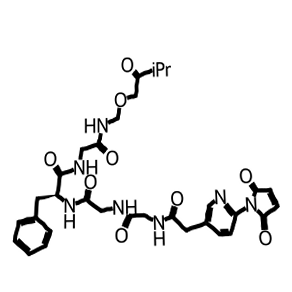 CC(C)C(=O)COCNC(=O)CNC(=O)[C@H](Cc1ccccc1)NC(=O)CNC(=O)CNC(=O)Cc1ccc(N2C(=O)C=CC2=O)nc1